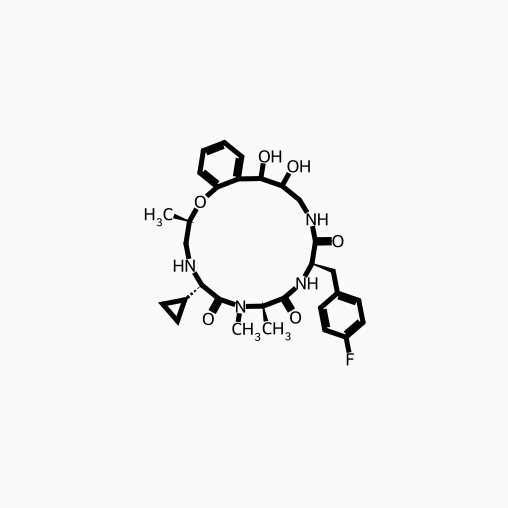 C[C@@H]1CN[C@@H](C2CC2)C(=O)N(C)[C@H](C)C(=O)N[C@H](Cc2ccc(F)cc2)C(=O)NCC(O)C(O)c2ccccc2O1